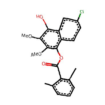 COc1c(OC)c(OC(=O)c2c(C)cccc2C)c2ccc(Cl)cc2c1O